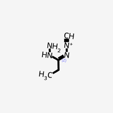 C#[N+]/N=C(/CC)NN